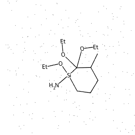 CCOC1(OCC)C(C)CCC[Si]1(N)OCC